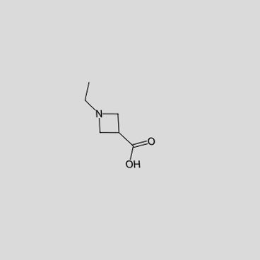 CCN1CC(C(=O)O)C1